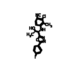 [C-]#[N+]c1ccc(N[C@@H](c2nnc(-c3ccc(I)cc3)o2)[C@H](C)O)c(C)c1Cl